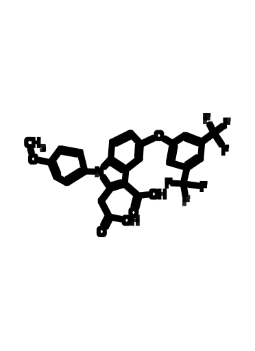 COc1ccc(-n2c(CC(=O)O)c(C(=O)O)c3cc(Oc4cc(C(F)(F)F)cc(C(F)(F)F)c4)ccc32)cc1